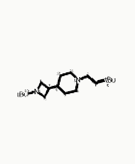 CC(C)(C)CCN1CCC(C2CN(C(C)(C)C)C2)CC1